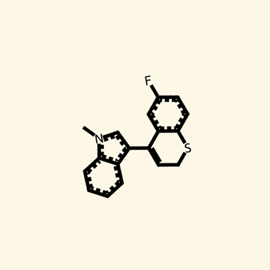 Cn1cc(C2=CCSc3ccc(F)cc32)c2ccccc21